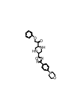 O=C(COc1ccccc1)C1CNC(c2nc(-c3ccc(N4CCOCC4)cc3)no2)CN1